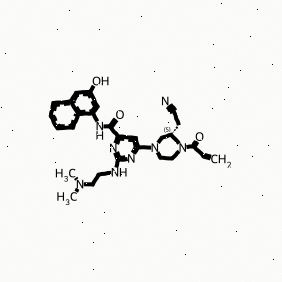 C=CC(=O)N1CCN(c2cc(C(=O)Nc3cc(O)cc4ccccc34)nc(NCCN(C)C)n2)C[C@@H]1CC#N